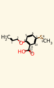 C=CCOc1ccc(SC)cc1C(=O)O